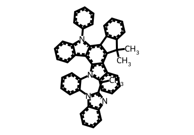 CCc1nc2ccccc2n1-c1ccccc1-n1c2ccccc2c2c3c(c4c(c5ccccc5n4-c4ccccc4)c21)-c1ccccc1C3(C)C